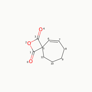 O=C1OC(=O)C12C=CCCCC2